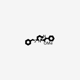 COc1c(-c2ccccc2)nc2ccc(SCc3ccccc3)nn12